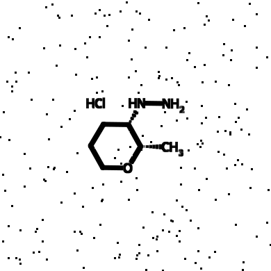 C[C@@H]1OCCC[C@@H]1NN.Cl